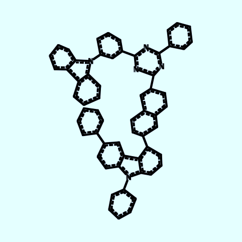 c1ccc(-c2ccc3c(c2)c2c(-c4ccc5cc(-c6nc(-c7ccccc7)nc(-c7cccc(-n8c9ccccc9c9ccccc98)c7)n6)ccc5c4)cccc2n3-c2ccccc2)cc1